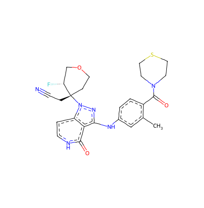 Cc1cc(Nc2nn([C@@]3(CC#N)CCOC[C@H]3F)c3cc[nH]c(=O)c23)ccc1C(=O)N1CCSCC1